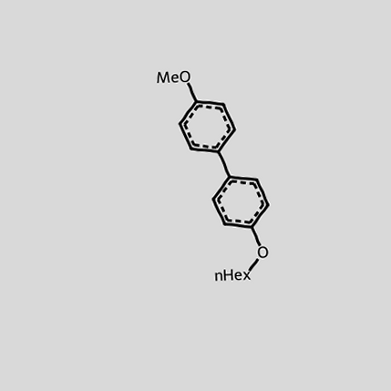 CCCCCCOc1ccc(-c2ccc(OC)cc2)cc1